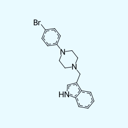 Brc1ccc(N2CCN(Cc3c[nH]c4ccccc34)CC2)cc1